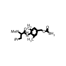 BC(=O)OCc1cc(C)c(NC(=O)C(CC(C)C)NC)c(C)c1